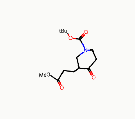 COC(=O)CCC1CN(C(=O)OC(C)(C)C)CCC1=O